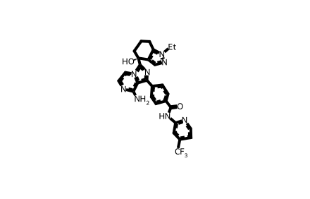 CCn1ncc2c1CCC[C@]2(O)c1nc(-c2ccc(C(=O)Nc3cc(C(F)(F)F)ccn3)cc2)c2c(N)nccn12